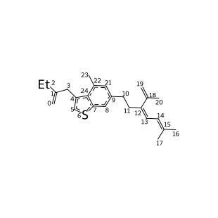 C=C(CC)Cc1csc2cc(CC/C(=C/C=C(C)C)C(=C)C)cc(C)c12